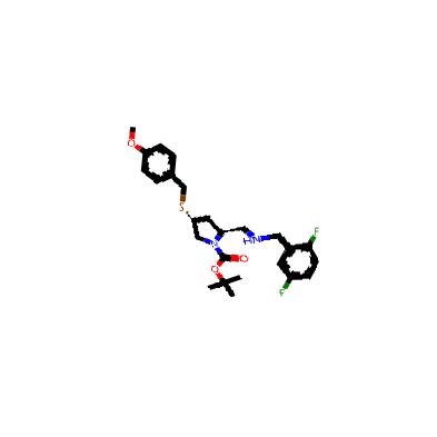 COc1ccc(CS[C@@H]2C[C@@H](CNCc3cc(F)ccc3F)N(C(=O)OC(C)(C)C)C2)cc1